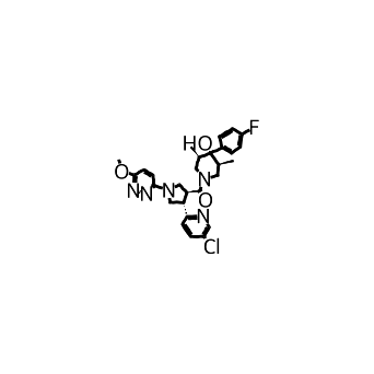 COc1ccc(N2C[C@@H](C(=O)N3C[C@@H](C)[C@@](O)(c4ccc(F)cc4)[C@@H](C)C3)[C@H](c3ccc(Cl)cn3)C2)nn1